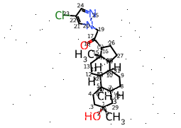 C[C@@]1(O)CC[C@@]2(C)[C@@H](CC[C@@H]3[C@@H]2CC[C@]2(C)[C@@H](C(=O)Cn4cc(Cl)cn4)CC[C@@H]32)C1